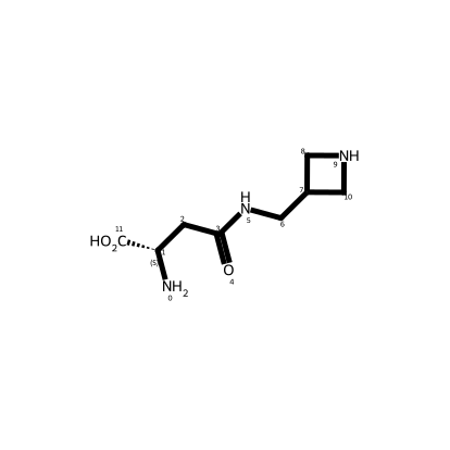 N[C@@H](CC(=O)NCC1CNC1)C(=O)O